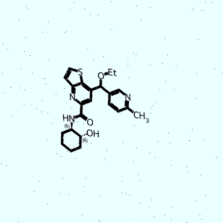 CCOC(c1ccc(C)nc1)c1cc(C(=O)N[C@@H]2CCCC[C@H]2O)nc2ccsc12